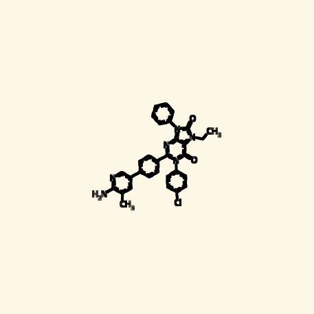 CCn1c(=O)n(-c2ccccc2)c2nc(-c3ccc(-c4cnc(N)c(C)c4)cc3)n(-c3ccc(Cl)cc3)c(=O)c21